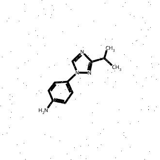 CC(C)c1ncn(-c2ccc(N)cc2)n1